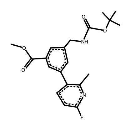 COC(=O)c1cc(CNC(=O)OC(C)(C)C)cc(-c2ccc(F)nc2C)c1